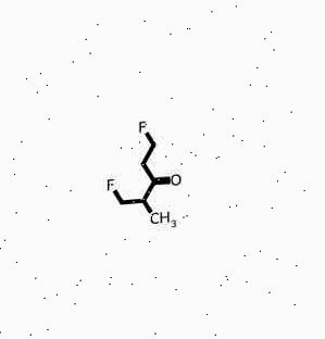 CC(CF)C(=O)CCF